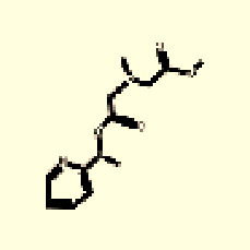 COC(=O)CN(C)CC(=O)OB(C)c1ccccn1